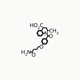 C[C@@H]1C[C@H](C(=O)O)c2ccccc2N1C(=O)c1ccc(OCCCC(N)=O)cc1